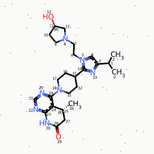 CC(C)c1cn(CCN2CC[C@@H](O)C2)c(C2CCN(c3ncnc4c3[C@H](C)CC(=O)N4)CC2)n1